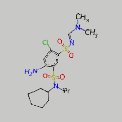 CC(C)N(C1CCCCC1)S(=O)(=O)c1cc(S(=O)(=O)/N=C/N(C)C)c(Cl)cc1N